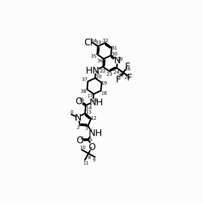 Cn1cc(NC(=O)OC(C)(C)C)cc1C(=O)NC1CCC(Nc2cc(C(F)(F)F)nc3ccc(Cl)cc23)CC1